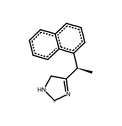 C[C@@H](C1=N[C]NC1)c1cccc2ccccc12